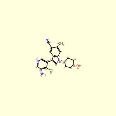 Cc1cc2c(cc1C#N)c(-c1cncc(N)c1Cl)cn2[C@H]1CC[C@@H](O)CC1